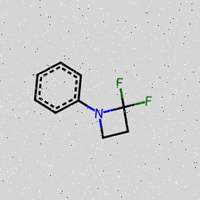 FC1(F)CCN1c1cc[c]cc1